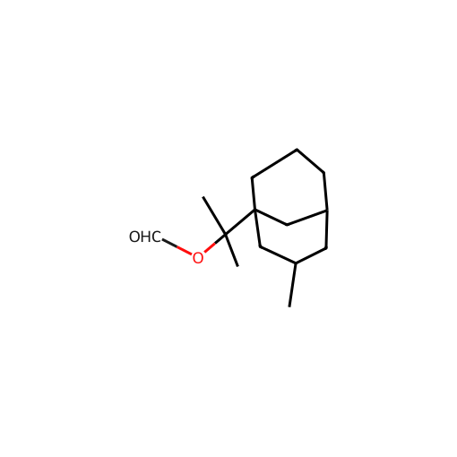 CC1CC2CCCC(C(C)(C)OC=O)(C1)C2